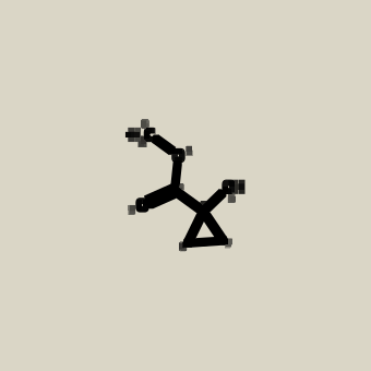 [CH2]OC(=O)C1(O)CC1